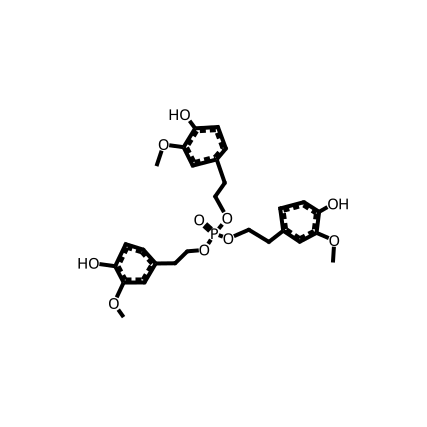 COc1cc(CCOP(=O)(OCCc2ccc(O)c(OC)c2)OCCc2ccc(O)c(OC)c2)ccc1O